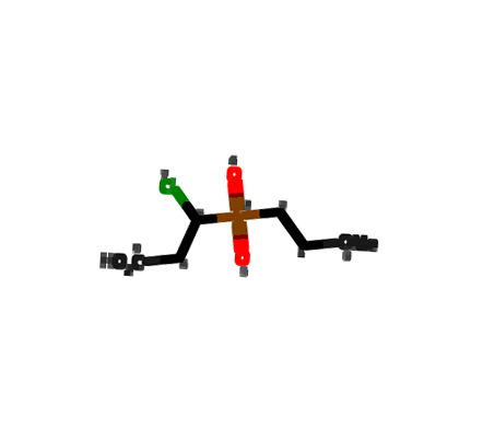 COCCS(=O)(=O)C(Cl)CC(=O)O